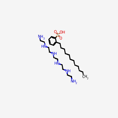 CCCCCCCCCCCCc1ccccc1S(=O)(=O)O.NCCNCCNCCNCCNCCN